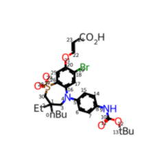 CCCCC1(CC)CN(c2ccc(NC(=O)OC(C)(C)C)cc2)c2cc(Br)c(O/C=C/C(=O)O)cc2S(=O)(=O)C1